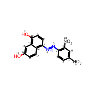 O=[N+]([O-])c1ccc(/N=N/c2ccc(O)c3cc(O)ccc23)c([N+](=O)[O-])c1